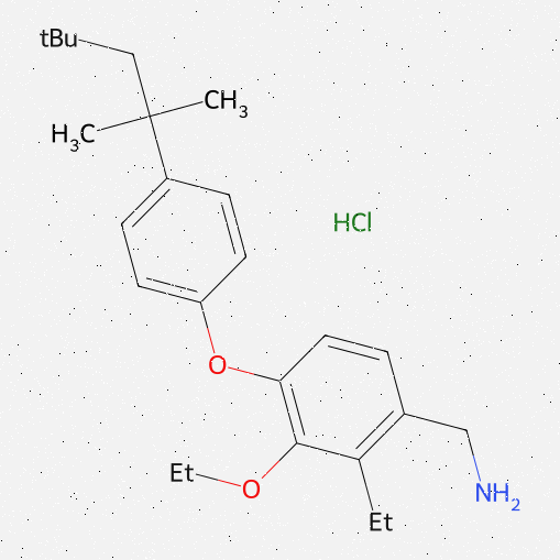 CCOc1c(Oc2ccc(C(C)(C)CC(C)(C)C)cc2)ccc(CN)c1CC.Cl